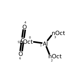 CCCCCCC[CH2][Al]([CH2]CCCCCCC)[CH2]CCCCCCC.O=C=O